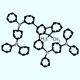 CC1(C)c2ccccc2-c2cc(-c3cccc(N(c4ccccc4)c4ccc(N(c5ccccc5)c5ccccc5)cc4)c3)cc(-c3cccc(N(c4ccccc4)c4ccc(N(c5ccccc5)c5ccccc5)cc4)c3)c21